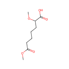 COC(=O)CCCCC(OC)C(=O)O